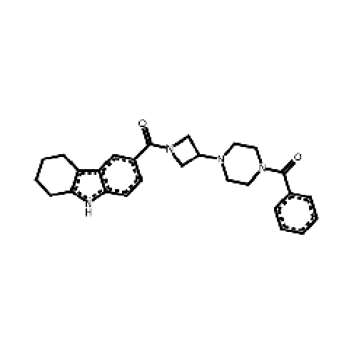 O=C(c1ccccc1)N1CCN(C2CN(C(=O)c3ccc4[nH]c5c(c4c3)CCCC5)C2)CC1